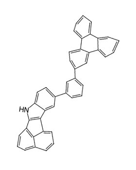 c1cc(-c2ccc3[nH]c4c(c3c2)-c2cccc3cccc-4c23)cc(-c2ccc3c4ccccc4c4ccccc4c3c2)c1